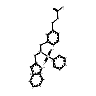 O=C(O)CCc1cccc(CN(Cc2cc3ccccc3o2)S(=O)(=O)c2ccccc2)c1